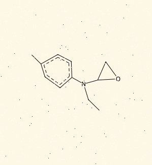 CCN(c1ccc(C)cc1)C1CO1